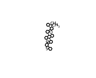 CC1(C)c2ccccc2-c2c1ccc1oc3c(-c4c5ccccc5c(-c5cccc6c5oc5ccc7sc8ccccc8c7c56)c5ccccc45)cccc3c21